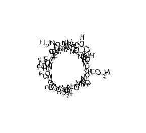 CCCC[C@H]1C(=O)N2CCC[C@@H]2C(=O)N[C@@H](CC(=O)O)C(=O)N[C@@H](C(C)C)C(=O)N(C)[C@@H](Cc2ccccc2)C(=O)N[C@@H](CCC(=O)O)C(=O)N2CCOC[C@@H]2C(=O)N[C@@H](Cc2c[nH]c3ccccc23)C(=O)N[C@@H](Cc2ccc(O)cc2)C(=O)N[C@@H](CC(N)=O)C(=O)N[C@H](C(=O)NCC(N)=O)CSCC(=O)N[C@@H](Cc2cc(F)c(F)c(F)c2)C(=O)N(C)[C@@H](Cc2ccc(F)cc2)C(=O)N1C